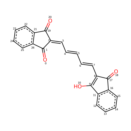 O=C1C(=C/C=C/C=C/C2=C(O)c3ccccc3C2=O)C(=O)c2ccccc21